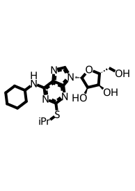 CC(C)Sc1nc(NC2CCCCC2)c2ncn([C@@H]3O[C@H](CO)[C@@H](O)[C@H]3O)c2n1